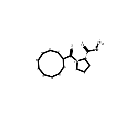 NNC(=O)[C@@H]1CCCN1C(=O)C1CCCCCCCCC1